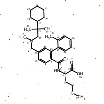 CSCC[C@H](NC(=O)c1ccc(CN(C)CC(C)(C)C2CCCCC2)cc1-c1ccccc1C)C(=O)O